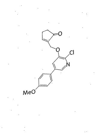 COc1ccc(-c2cnc(Cl)c(OCC3=CCCC3=O)c2)cc1